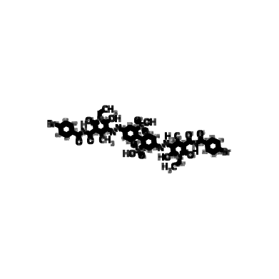 CCn1c(O)c(N=Nc2ccc(-c3ccc(N=Nc4c(C)c(C(=O)NC(=O)c5ccc(Br)cc5)c(=O)n(CC)c4O)cc3S(=O)(=O)O)c(S(=O)(=O)O)c2)c(C)c(C(=O)NC(=O)c2ccc(Br)cc2)c1=O